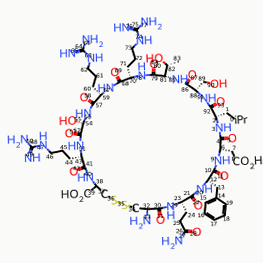 CC(C)C[C@@H]1NC(=O)[C@H](CC(=O)O)NC(=O)[C@H](Cc2ccccc2)NC(=O)[C@H](CCC(N)=O)NC(=O)[C@@H](N)CSSCC(C(=O)O)NC(=O)[C@H](CCCNC(=N)N)NC(=O)[C@H](O)NC(=O)[C@H](CCCNC(=N)N)NC(=O)[C@H](CCCNC(=N)N)NC(=O)[C@H]([C@@H](C)O)NC(=O)[C@H](CO)NC1=O